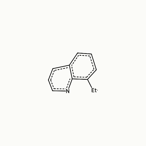 C[CH]c1cccc2cccnc12